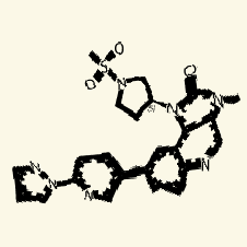 Cn1c(=O)n([C@H]2CCN(S(C)(=O)=O)C2)c2c3cc(-c4ccc(-n5cccn5)nc4)ccc3ncc21